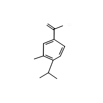 COC(=O)c1ccc(C(C)Br)c(Br)c1